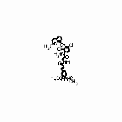 COc1cc(/C=C/C(=O)NCC(=O)N(C)c2ccc(Cl)c(COc3cccc4ccc(C)nc34)c2Cl)ccc1NC(C)=O